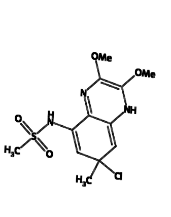 COC1=C(OC)NC2=CC(C)(Cl)C=C(NS(C)(=O)=O)C2=N1